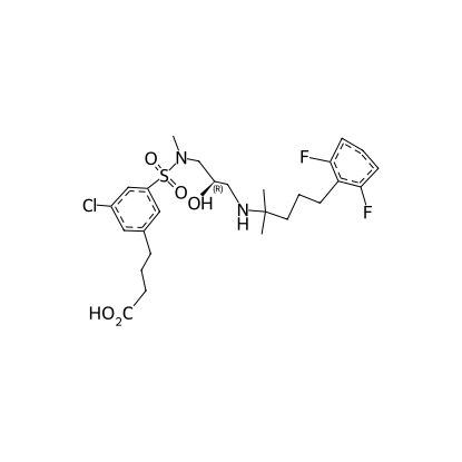 CN(C[C@H](O)CNC(C)(C)CCCc1c(F)cccc1F)S(=O)(=O)c1cc(Cl)cc(CCCC(=O)O)c1